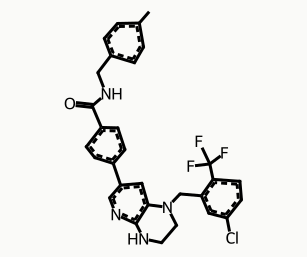 Cc1ccc(CNC(=O)c2ccc(-c3cnc4c(c3)N(Cc3cc(Cl)ccc3C(F)(F)F)CCN4)cc2)cc1